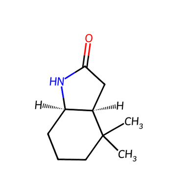 CC1(C)CCC[C@H]2NC(=O)C[C@H]21